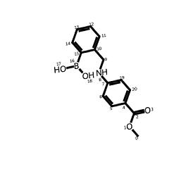 COC(=O)c1ccc(NCc2ccccc2B(O)O)cc1